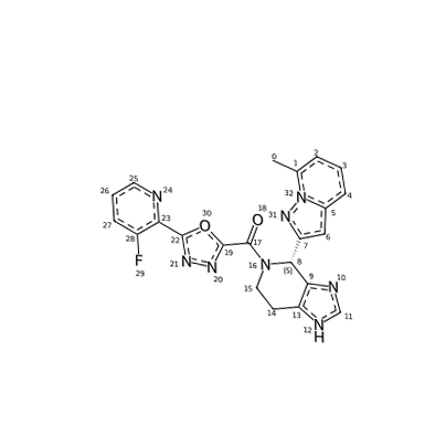 Cc1cccc2cc([C@@H]3c4nc[nH]c4CCN3C(=O)c3nnc(-c4ncccc4F)o3)nn12